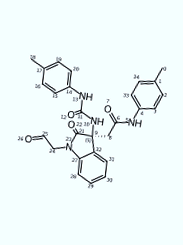 Cc1ccc(NC(=O)C[C@@]2(NC(=O)Nc3ccc(C)cc3)C(=O)N(CC=O)c3ccccc32)cc1